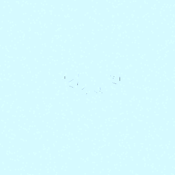 Cc1nc(COc2ccccn2)sc1-c1csc(-c2cc(O)c(C(=O)O)cc2F)c1